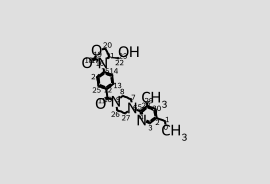 CCc1cnc(N2CCN(C(=O)c3ccc(N4C(=O)OC[C@H]4CO)cc3)CC2)c(C)c1